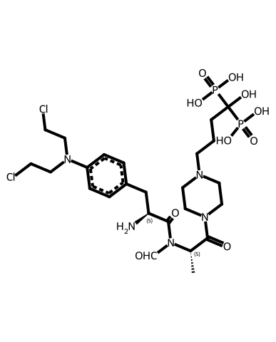 C[C@@H](C(=O)N1CCN(CCCC(O)(P(=O)(O)O)P(=O)(O)O)CC1)N(C=O)C(=O)[C@@H](N)Cc1ccc(N(CCCl)CCCl)cc1